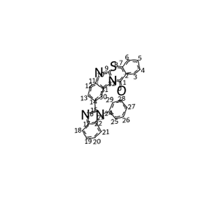 O=c1c2ccccc2sc2nc3ccc(-c4nc5ccccc5n4-c4ccccc4)cc3n12